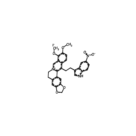 COc1ccc2c(CCc3c[nH]c4ccc([N+](=O)[O-])cc34)c3[n+](cc2c1OC)CCc1cc2c(cc1-3)OCO2.[I-]